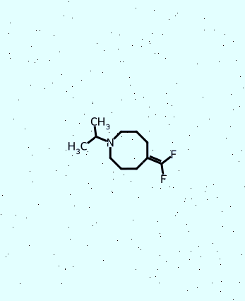 CC(C)N1CCCC(=C(F)F)CCC1